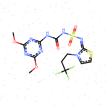 COc1nc(NC(=O)NS(=O)(=O)N=c2sccn2CCC(F)(F)F)nc(OC)n1